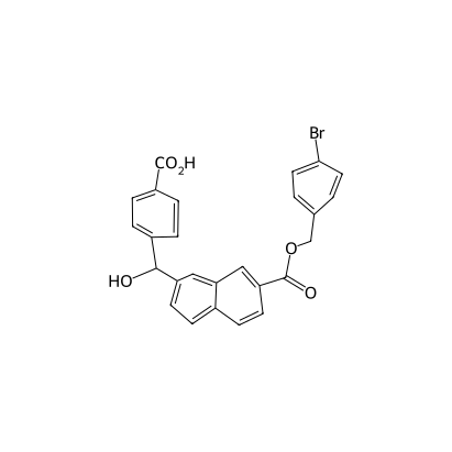 O=C(O)c1ccc(C(O)c2ccc3ccc(C(=O)OCc4ccc(Br)cc4)cc3c2)cc1